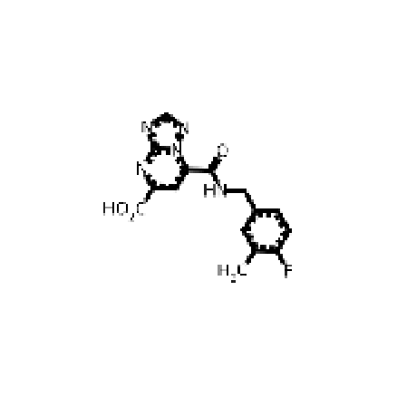 Cc1cc(CNC(=O)c2cc(C(=O)O)nc3ncnn23)ccc1F